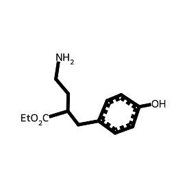 CCOC(=O)C(CCN)Cc1ccc(O)cc1